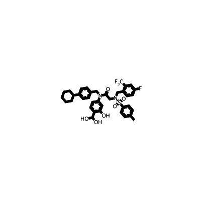 Cc1ccc(S(=O)(=O)N(CC(=O)N(Cc2ccc(C3CCCCC3)cc2)c2ccc(C(O)O)c(O)c2)Cc2ccc(F)cc2C(F)(F)F)cc1